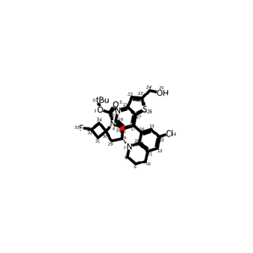 CC(C)(C)OC(=O)N1C[C@H](N2CCCc3cc(Cl)cc(-c4ccnc5cc(CO)sc45)c32)CC12CC(F)C2